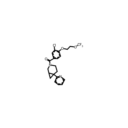 O=C(c1ccc(OCCOC(F)(F)F)c(Cl)c1)N1CCC2(c3ccccn3)CC2C1